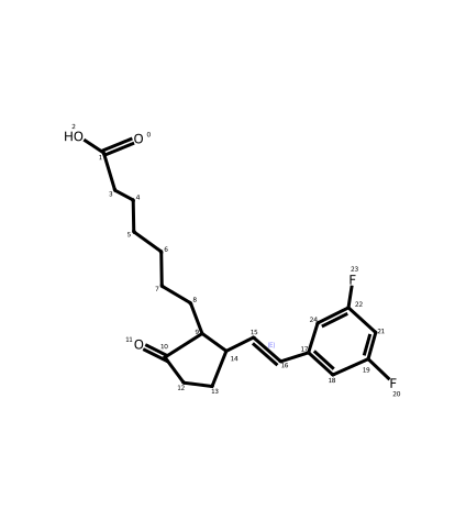 O=C(O)CCCCCCC1C(=O)CCC1/C=C/c1cc(F)cc(F)c1